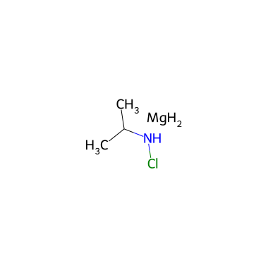 CC(C)NCl.[MgH2]